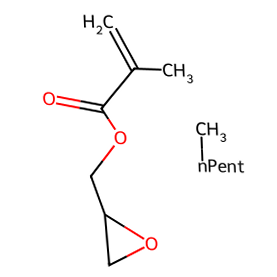 C=C(C)C(=O)OCC1CO1.CCCCCC